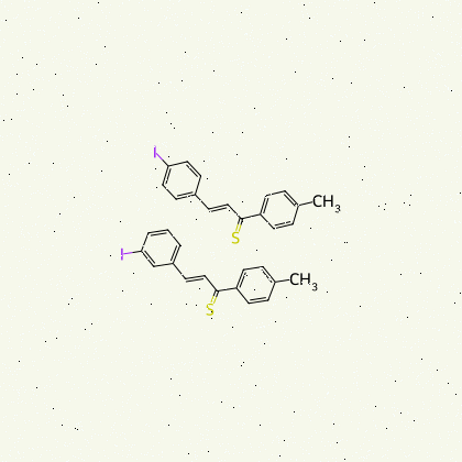 Cc1ccc(C(=S)C=Cc2ccc(I)cc2)cc1.Cc1ccc(C(=S)C=Cc2cccc(I)c2)cc1